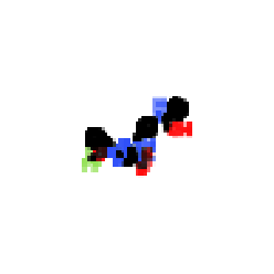 O=[N+]([O-])c1cnc(NCc2ccccc2OC(F)(F)F)nc1NCC1CCC(N[C@@H](CO)c2ccccc2)CC1